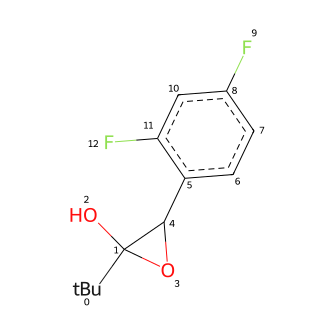 CC(C)(C)C1(O)OC1c1ccc(F)cc1F